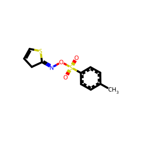 Cc1ccc(S(=O)(=O)ON=C2CC=CS2)cc1